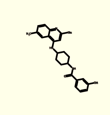 Cc1ccc2nc(C(C)(C)C)cc(NC3CCC(NC(=O)c4cccc(O)c4)CC3)c2c1